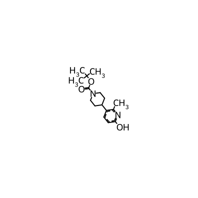 Cc1nc(O)ccc1C1CCN(C(=O)OC(C)(C)C)CC1